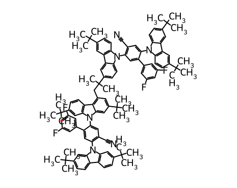 CC(C)(C)c1ccc2c(c1)c1cc(C(C)(C)Cc3cc(C(C)(C)C)cc4c3c3ccc(C(C)(C)C)cc3n4-c3cc(C#N)c(-n4c5cc(C(C)(C)C)ccc5c5ccc(C(C)(C)C)cc54)cc3-c3cc(F)cc(F)c3)ccc1n2-c1cc(-c2cc(F)cc(F)c2)c(-n2c3ccc(C(C)(C)C)cc3c3cc(C(C)(C)C)ccc32)cc1C#N